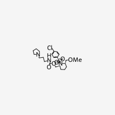 COC[C@H]1CCC[C@@H](COC(=O)NCCCN2CCCC2)N1S(=O)(=O)c1ccc(Cl)cc1